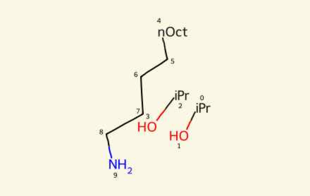 CC(C)O.CC(C)O.CCCCCCCCCCCCN